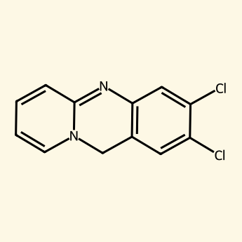 Clc1cc2c(cc1Cl)N=C1C=CC=CN1C2